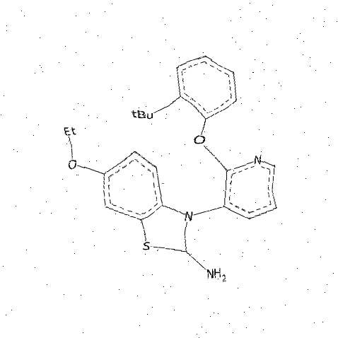 CCOc1ccc2c(c1)SC(N)N2c1cccnc1Oc1ccccc1C(C)(C)C